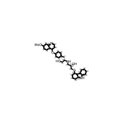 COc1ccc2c(Oc3ccc(C[C@@H](CO)NC[C@H](O)COc4cccc5[nH]c6ccccc6c45)cc3)ccnc2c1